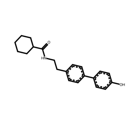 O=C(NCCc1ccc(-c2ccc(O)cc2)cc1)C1CCCCC1